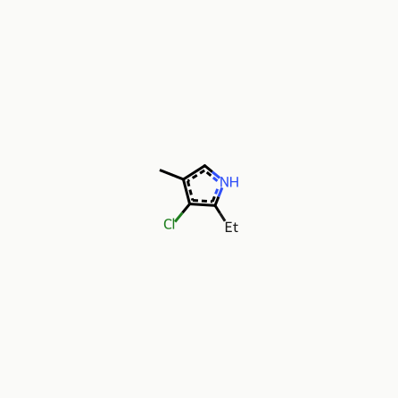 CCc1[nH]cc(C)c1Cl